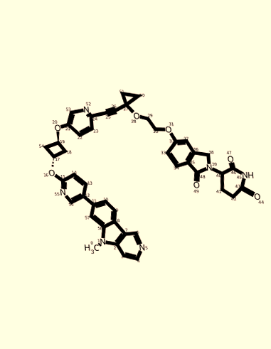 Cn1c2ccncc2c2ccc(-c3ccc(O[C@H]4C[C@H](Oc5ccc(C#CC6(OCCOc7ccc8c(c7)CN(C7CCC(=O)NC7=O)C8=O)CC6)nc5)C4)nc3)cc21